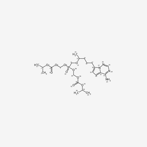 CC(C)OC(=O)OCOP(=O)(COC(C)CCCc1ccc2c(N)ncnn12)OCOC(=O)OC(C)C